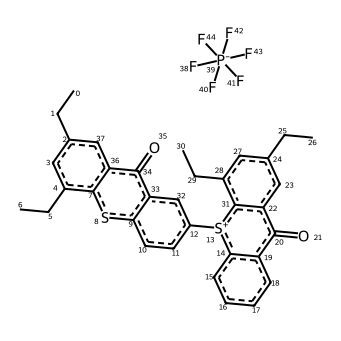 CCc1cc(CC)c2sc3ccc(-[s+]4c5ccccc5c(=O)c5cc(CC)cc(CC)c54)cc3c(=O)c2c1.F[P-](F)(F)(F)(F)F